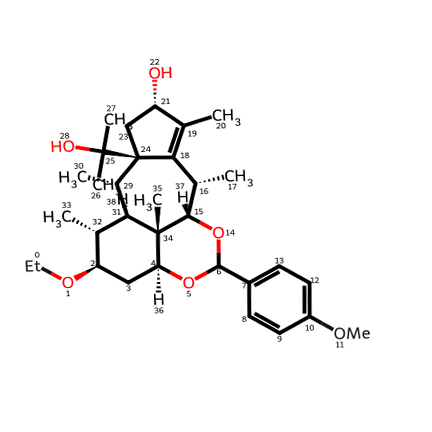 CCO[C@@H]1C[C@@H]2OC(c3ccc(OC)cc3)O[C@H]3[C@@H](C)C4=C(C)[C@@H](O)C[C@@]4(C(C)(C)O)[C@@H](C)[C@H]([C@H]1C)[C@@]23C